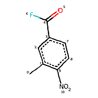 Cc1cc(C(=O)F)ccc1[N+](=O)[O-]